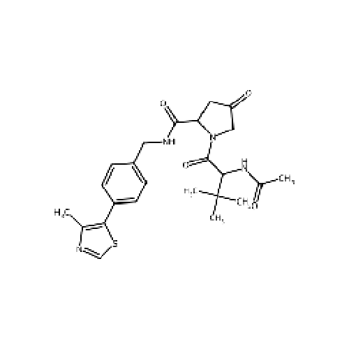 CC(=O)NC(C(=O)N1CC(=O)CC1C(=O)NCc1ccc(-c2scnc2C)cc1)C(C)(C)C